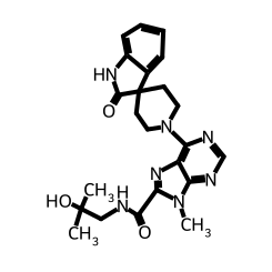 Cn1c(C(=O)NCC(C)(C)O)nc2c(N3CCC4(CC3)C(=O)Nc3ccccc34)ncnc21